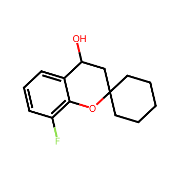 OC1CC2(CCCCC2)Oc2c(F)cccc21